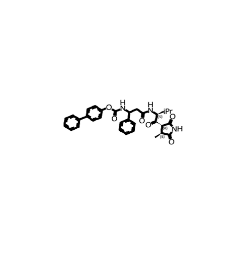 CC(C)[C@H](NC(=O)CC(NC(=O)Oc1ccc(-c2ccccc2)cc1)c1ccccc1)C(=O)[C@@H]1C(=O)NC(=O)[C@H]1C